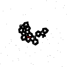 CC1(C)c2ccccc2-c2ccc(N(c3ccc4c(c3)-c3ccccc3C43c4ccccc4-c4ccc5oc6ccccc6c5c43)c3ccccc3-c3ccccc3)cc21